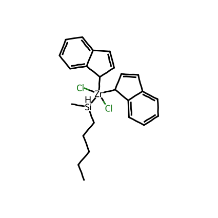 CCCCC[SiH](C)[Zr]([Cl])([Cl])([CH]1C=Cc2ccccc21)[CH]1C=Cc2ccccc21